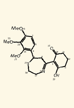 COc1ccc(C2CC(C3=C(O)CCCC3=O)=NCCS2)c(OC)c1OC